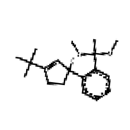 COC(C)(OC)c1ccccc1C1(O)C=C(C(C)(C)C)CC1